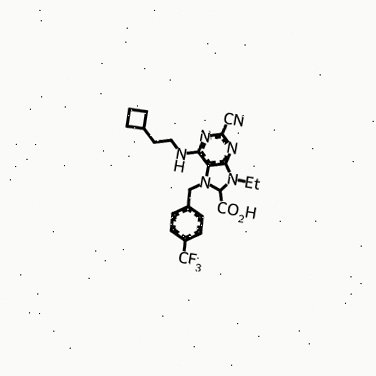 CCN1c2nc(C#N)nc(NCCC3CCC3)c2N(Cc2ccc(C(F)(F)F)cc2)C1C(=O)O